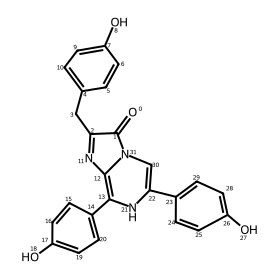 O=c1c(Cc2ccc(O)cc2)nc2c(-c3ccc(O)cc3)[nH]c(-c3ccc(O)cc3)cn1-2